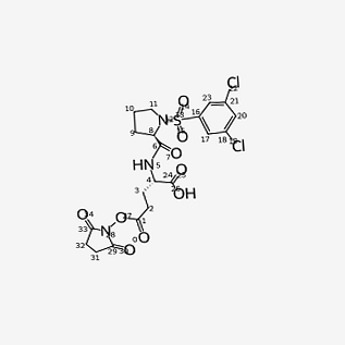 O=C(CC[C@H](NC(=O)[C@H]1CCCN1S(=O)(=O)c1cc(Cl)cc(Cl)c1)C(=O)O)ON1C(=O)CCC1=O